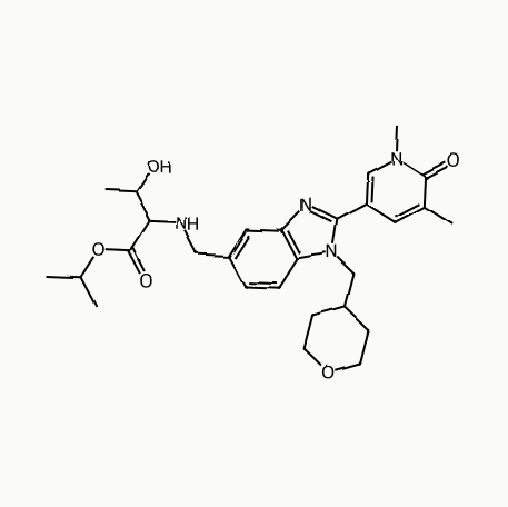 Cc1cc(-c2nc3cc(CNC(C(=O)OC(C)C)C(C)O)ccc3n2CC2CCOCC2)cn(C)c1=O